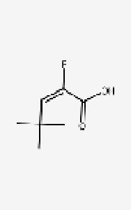 CC(C)(C)/C=C(/F)C(=O)O